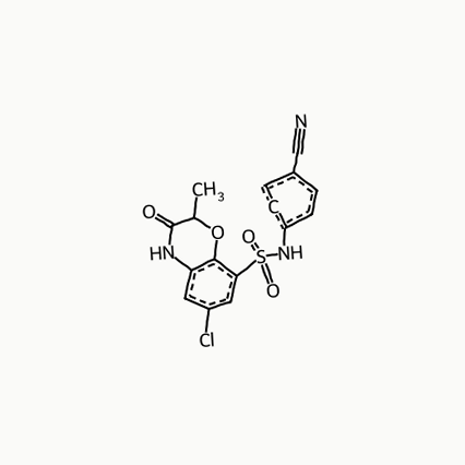 CC1Oc2c(cc(Cl)cc2S(=O)(=O)Nc2ccc(C#N)cc2)NC1=O